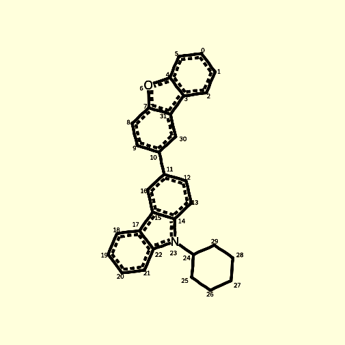 c1ccc2c(c1)oc1ccc(-c3ccc4c(c3)c3ccccc3n4C3CCCCC3)cc12